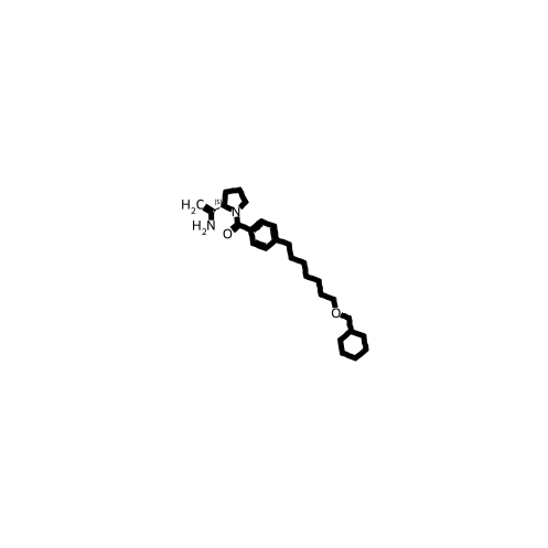 C=C(N)[C@@H]1CCCN1C(=O)c1ccc(CCCCCCCOCC2CCCCC2)cc1